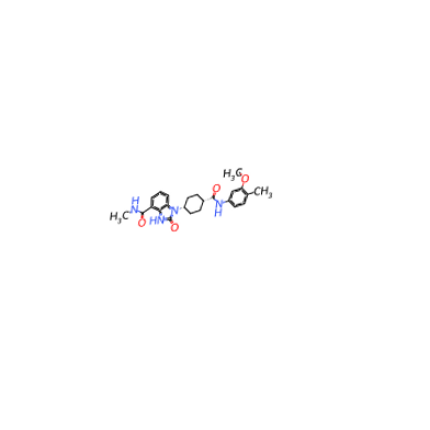 CNC(=O)c1cccc2c1[nH]c(=O)n2[C@H]1CC[C@@H](C(=O)Nc2ccc(C)c(OC)c2)CC1